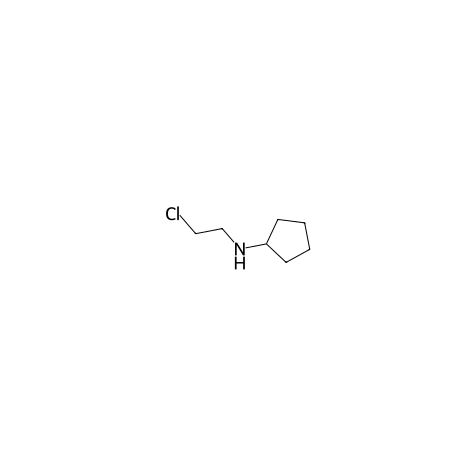 ClCCNC1CCCC1